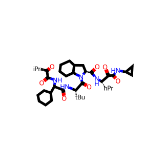 CCC[C@H](NC(=O)[C@@H]1CC2CCCCC2N1C(=O)[C@@H](NC(=O)C(NC(=O)C(=O)C(C)C)C1CCCCC1)C(C)(C)C)C(=O)C(=O)NC1CC1